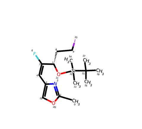 Cc1nc(/C=C(/F)[C@H](CCI)O[Si](C)(C)C(C)(C)C)co1